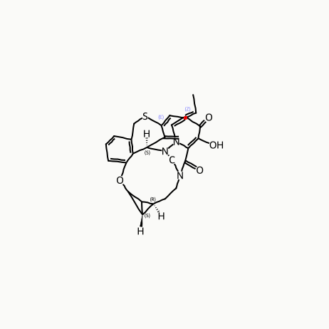 C=C1/C(=C\C=C/C)SCc2cccc3c2[C@@H]1N1CN(CC[C@@H]2C4C(O3)[C@H]42)C(=O)c2c(O)c(=O)ccn21